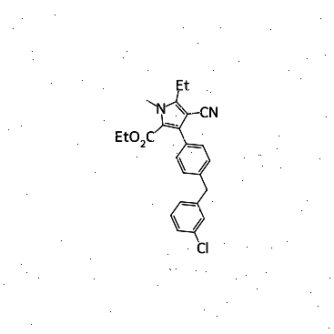 CCOC(=O)c1c(-c2ccc(Cc3cccc(Cl)c3)cc2)c(C#N)c(CC)n1C